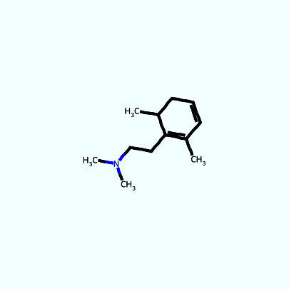 CC1=C(CCN(C)C)C(C)CC=C1